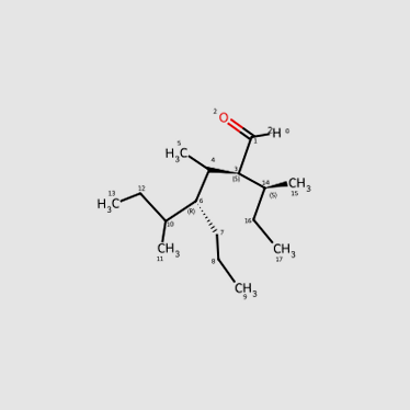 [2H]C(=O)[C@H](C(C)[C@H](CCC)C(C)CC)[C@@H](C)CC